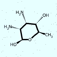 C[C@H]1O[C@@H](O)[C@H](N)[C@H](N)[C@@H]1O